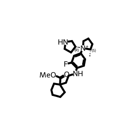 COC(=O)C1(CCNc2ccc([N+]3([C@@H]4CCNC4)CCC[C@@H]3C)cc2F)CCCCC1